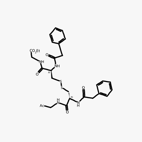 CCOC(=O)CNC(=O)[C@H](CSSC[C@H](NC(=O)Cc1ccccc1)C(=O)NCC(C)=O)NC(=O)Cc1ccccc1